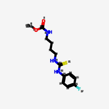 CC(C)(C)OC(=O)NCCCCNC(=S)Nc1ccc(F)cc1